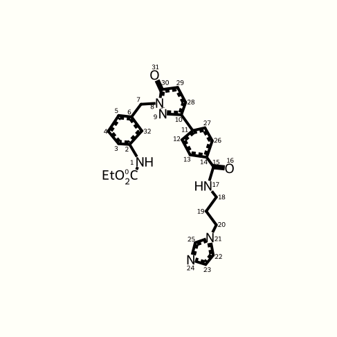 CCOC(=O)Nc1cccc(Cn2nc(-c3ccc(C(=O)NCCCn4ccnc4)cc3)ccc2=O)c1